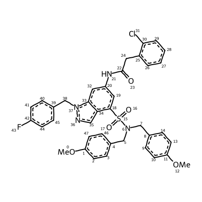 COc1ccc(CN(Cc2ccc(OC)cc2)S(=O)(=O)c2cc(NC(=O)Cc3ccccc3Cl)cc3c2cnn3Cc2ccc(F)cc2)cc1